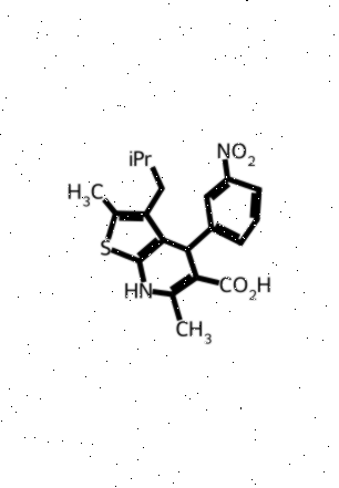 CC1=C(C(=O)O)C(c2cccc([N+](=O)[O-])c2)c2c(sc(C)c2CC(C)C)N1